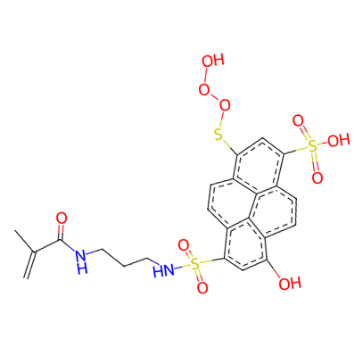 C=C(C)C(=O)NCCCNS(=O)(=O)c1cc(O)c2ccc3c(S(=O)(=O)O)cc(SOOO)c4ccc1c2c43